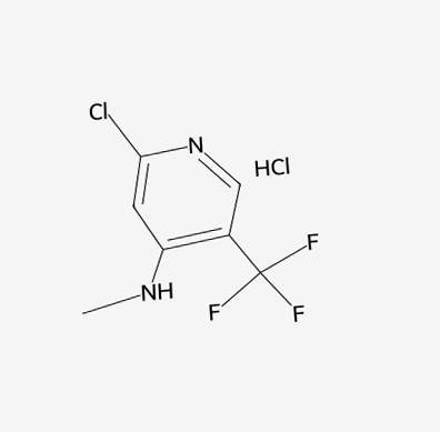 CNc1cc(Cl)ncc1C(F)(F)F.Cl